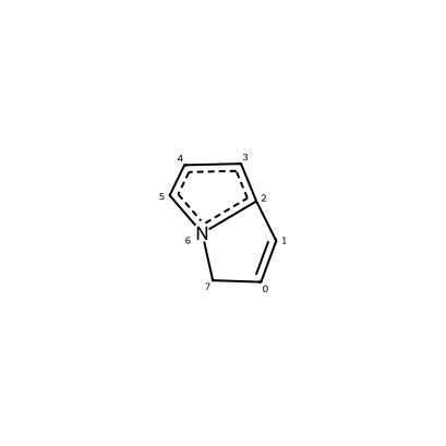 C1=Cc2cccn2C1